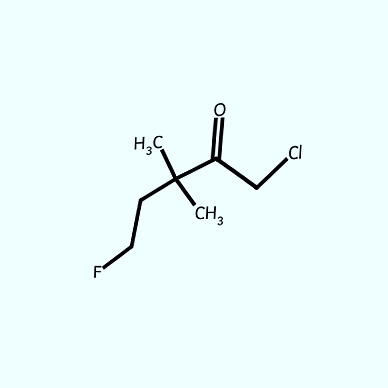 CC(C)(CCF)C(=O)CCl